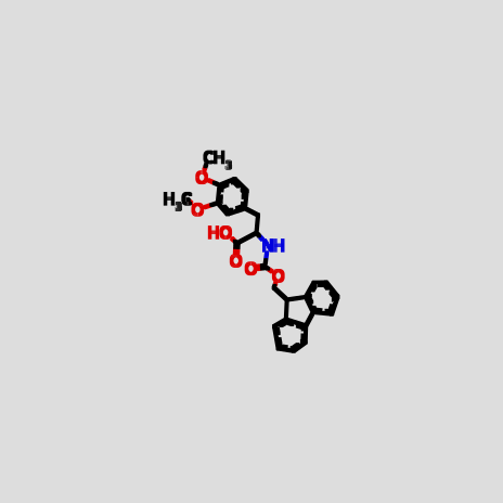 COc1ccc(CC(NC(=O)OCC2c3ccccc3-c3ccccc32)C(=O)O)cc1OC